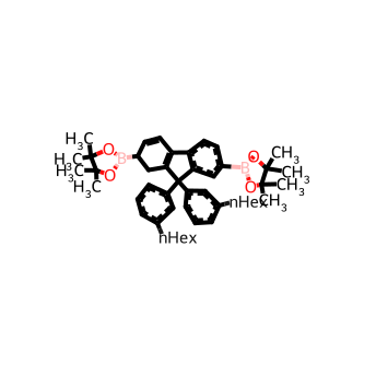 CCCCCCc1cccc(C2(c3cccc(CCCCCC)c3)C3=C(C=CC(B4OC(C)(C)C(C)(C)O4)C3)c3ccc(B4OC(C)(C)C(C)(C)O4)cc32)c1